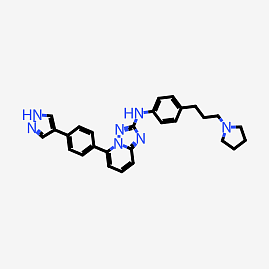 c1cc(-c2ccc(-c3cn[nH]c3)cc2)n2nc(Nc3ccc(CCCN4CCCC4)cc3)nc2c1